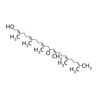 CC(C)=CCC/C(C)=C/CC/C(C)=C/C(=O)C/C(C)=C/CC/C(C)=C/CC/C(C)=C/CO